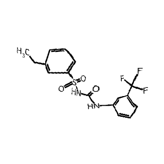 CCc1cccc(S(=O)(=O)NC(=O)Nc2cccc(C(F)(F)F)c2)c1